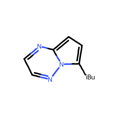 CCC(C)c1ccc2nccnn12